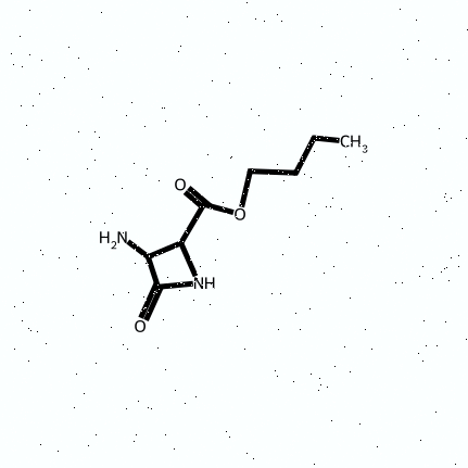 CCCCOC(=O)C1NC(=O)C1N